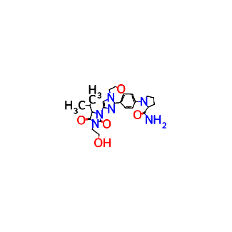 CC(C)C1C(=O)N(CCO)C(=O)N1c1cn2c(n1)-c1ccc(N3CCC[C@H]3C(N)=O)cc1OCC2